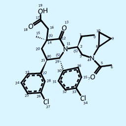 CC[C@@H](CN(C(C)=O)C1CC1)N1C(=O)[C@](C)(CC(=O)O)C[C@H](c2cccc(Cl)c2)[C@H]1c1ccc(Cl)cc1